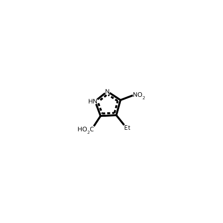 CCc1c([N+](=O)[O-])n[nH]c1C(=O)O